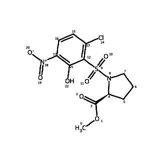 COC(=O)[C@@H]1CCCN1S(=O)(=O)c1c(Cl)ccc([N+](=O)[O-])c1O